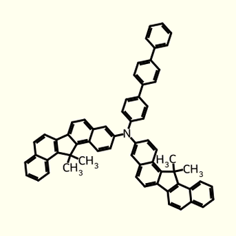 CC1(C)c2c(ccc3ccccc23)-c2ccc3cc(N(c4ccc(-c5ccc(-c6ccccc6)cc5)cc4)c4ccc5c6c(ccc5c4)-c4ccc5ccccc5c4C6(C)C)ccc3c21